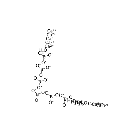 O.O.O.O.O.[Ca+2].[Ca+2].[Ca+2].[Ca+2].[Ca+2].[Ca+2].[Ca+2].[Ca+2].[Ca+2].[O-]B([O-])[O-].[O-]B([O-])[O-].[O-]B([O-])[O-].[O-]B([O-])[O-].[O-]B([O-])[O-].[O-]B([O-])[O-]